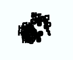 CCCCCOC(=O)COc1cc(N2C(=O)C3=C(CCCC3)C2=O)c(F)cc1Cl.COc1cc(OC)nc(NC(=O)NS(=O)(=O)c2c(C(=O)O)c(Cl)nn2C)n1.C[S+](C)C.O=C(O)CNCP(=O)([O-])O